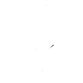 CC(C)N[C@@H](Cc1ccc(O)cc1)c1cscn1